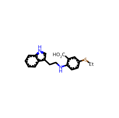 CCSc1ccc(NCCc2c[nH]c3ccccc23)c(C(=O)O)c1